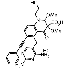 COC1N(CCO)c2ccc(C#Cc3ccccc3)c(Cc3cnc(N)nc3N)c2C(=O)C1(OC)C(=O)O.Cl